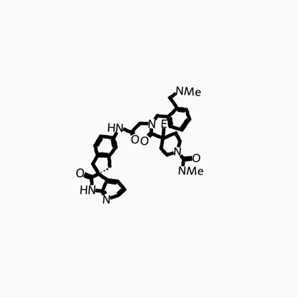 CCC1(C(=O)N(CC(=O)Nc2ccc3c(c2)C[C@@]2(C3)C(=O)Nc3ncccc32)Cc2ccccc2CNC)CCN(C(=O)NC)CC1